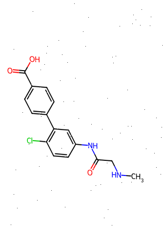 CNCC(=O)Nc1ccc(Cl)c(-c2ccc(C(=O)O)cc2)c1